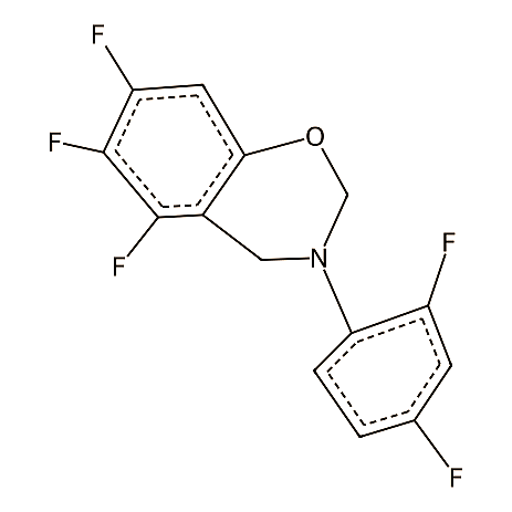 Fc1ccc(N2COc3cc(F)c(F)c(F)c3C2)c(F)c1